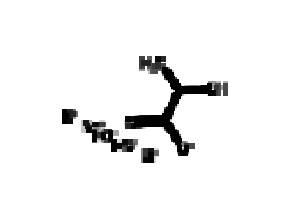 CC(O)C(=O)[O-].[K+].[Li+].[Na+].[OH-].[OH-]